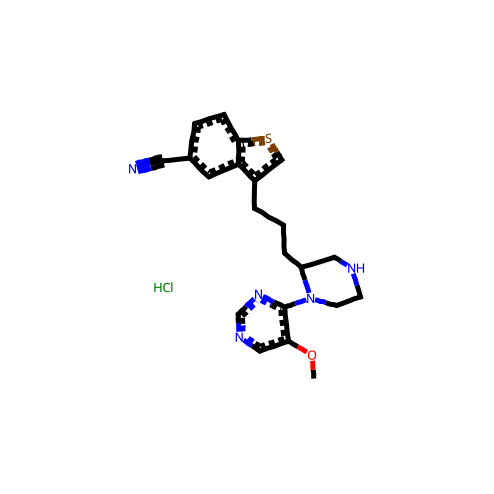 COc1cncnc1N1CCNCC1CCCc1csc2ccc(C#N)cc12.Cl